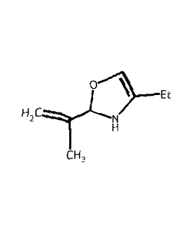 C=C(C)C1NC(CC)=CO1